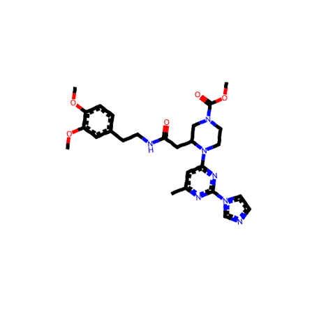 COC(=O)N1CCN(c2cc(C)nc(-n3ccnc3)n2)C(CC(=O)NCCc2ccc(OC)c(OC)c2)C1